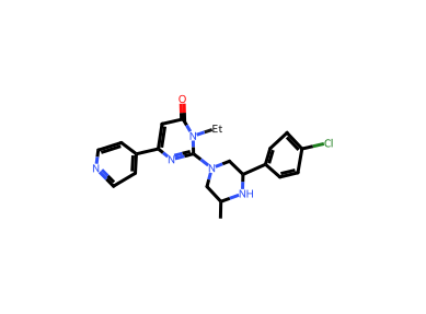 CCn1c(N2CC(C)NC(c3ccc(Cl)cc3)C2)nc(-c2ccncc2)cc1=O